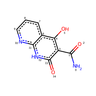 NC(=O)c1c(O)c2cccnc2[nH]c1=O